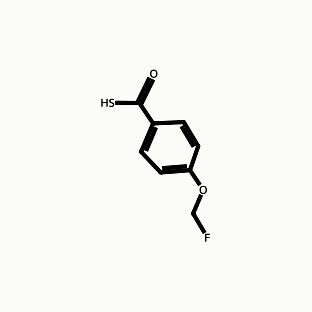 O=C(S)c1ccc(OCF)cc1